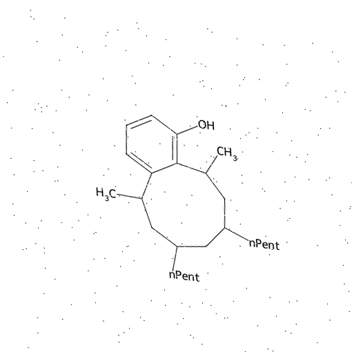 CCCCCC1CC(CCCCC)CC(C)c2c(O)cccc2C(C)C1